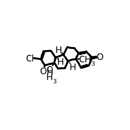 C[C@]12C=CC(=O)C=C1CC[C@@H]1[C@@H]2CC[C@]2(C)C(O)C(Cl)=CC[C@@H]12